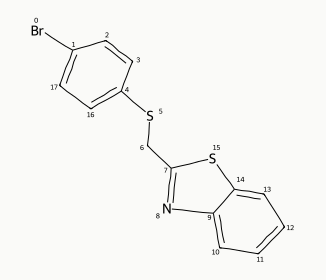 Brc1ccc(SCc2nc3ccccc3s2)cc1